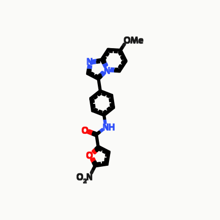 COc1ccn2c(-c3ccc(NC(=O)c4ccc([N+](=O)[O-])o4)cc3)cnc2c1